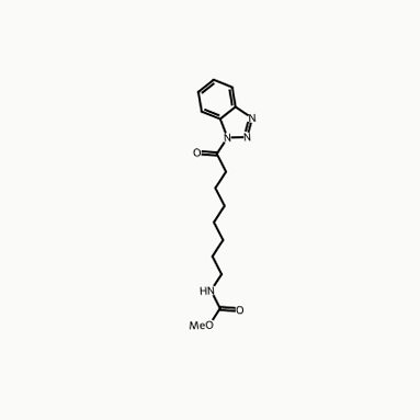 COC(=O)NCCCCCCCC(=O)n1nnc2ccccc21